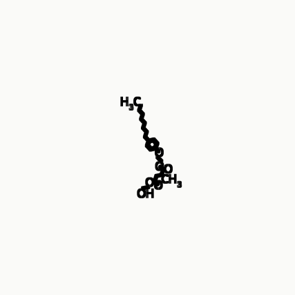 CCCCCCCCCc1ccc(OCCOC(=O)C(C)CC(=O)OCCO)cc1